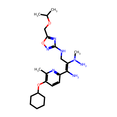 Cc1nc(/C(N)=C(\CNc2noc(COC(C)C)n2)N(C)N)ccc1OC1CCCCC1